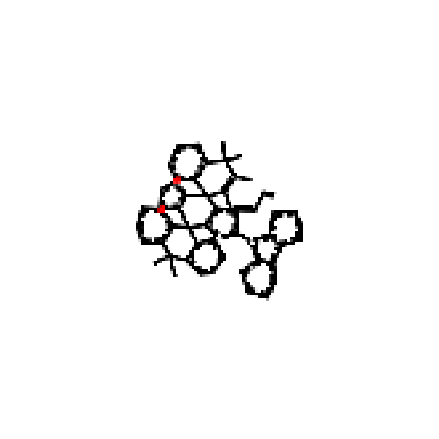 C=C/C=C\C1=C(C)C(C)(C)c2ccccc2C12c1cc(-n3c4ccccc4c4ccccc43)sc1C1(c3ccccc3C(C)(C)c3ccccc31)c1ccsc12